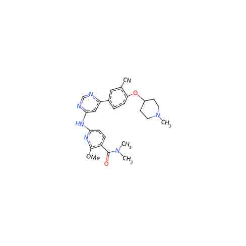 COc1nc(Nc2cc(-c3ccc(OC4CCN(C)CC4)c(C#N)c3)ncn2)ccc1C(=O)N(C)C